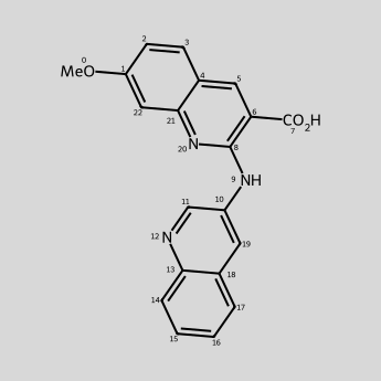 COc1ccc2cc(C(=O)O)c(Nc3cnc4ccccc4c3)nc2c1